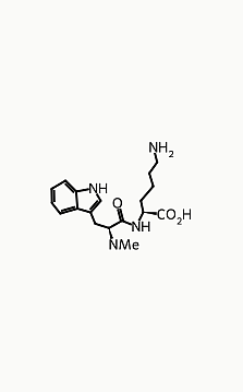 CN[C@@H](Cc1c[nH]c2ccccc12)C(=O)N[C@@H](CCCCN)C(=O)O